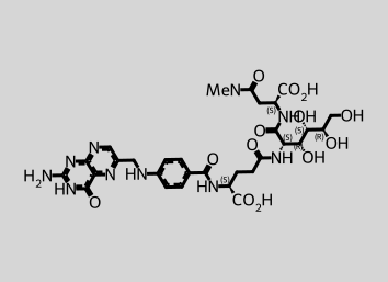 CNC(=O)C[C@H](NC(=O)[C@@H](NC(=O)CC[C@H](NC(=O)c1ccc(NCc2cnc3nc(N)[nH]c(=O)c3n2)cc1)C(=O)O)[C@@H](O)[C@H](O)[C@H](O)CO)C(=O)O